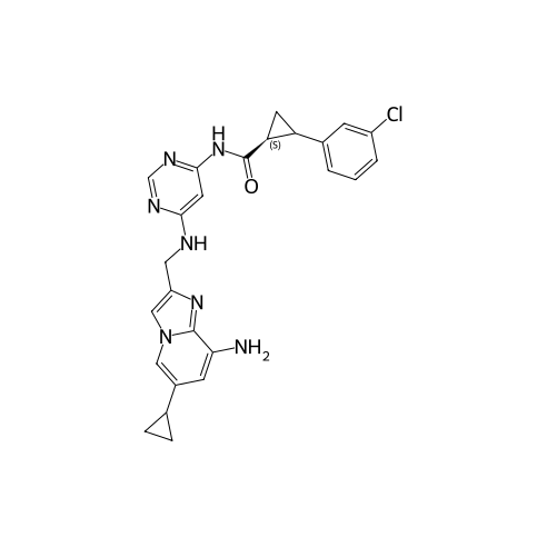 Nc1cc(C2CC2)cn2cc(CNc3cc(NC(=O)[C@H]4CC4c4cccc(Cl)c4)ncn3)nc12